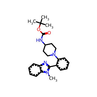 Cn1c(-c2ccccc2N2CCC(NC(=O)OC(C)(C)C)CC2)nc2ccccc21